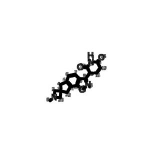 CN1CC2(Cc3ccc4c(C5CCC(=O)NC5=O)noc4c3C2)C1